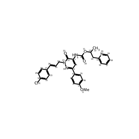 COc1ccc(-c2cc(NC(=O)OC(C)Cc3ccccn3)c(=O)n(C/C=C/c3ccc(Cl)cc3)n2)cc1